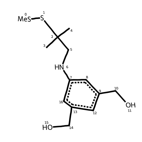 CSSC(C)(C)CNc1cc(CO)cc(CO)c1